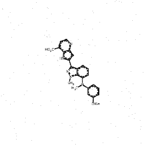 COc1cccc(N(C)c2cccc3c(-c4cc5nccc(C(=O)O)c5[nH]4)nn(C)c23)c1